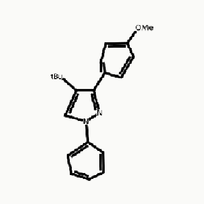 COc1ccc(-c2nn(-c3ccccc3)cc2C(C)(C)C)cc1